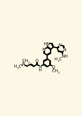 CNc1cc(-c2c[nH]c3ncc(-c4cc(NC(=O)C=CCN(C)C)cc(OC)c4)cc23)ncn1